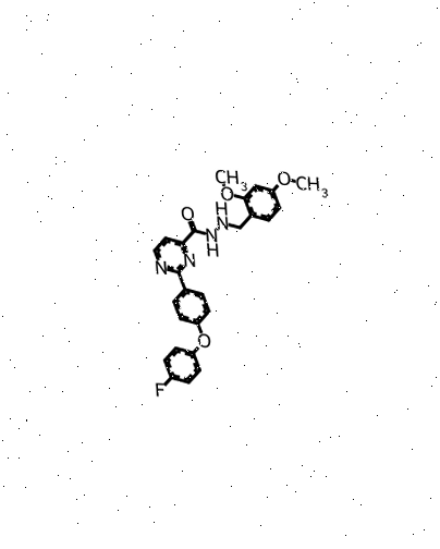 COc1ccc(CNNC(=O)c2ccnc(-c3ccc(Oc4ccc(F)cc4)cc3)n2)c(OC)c1